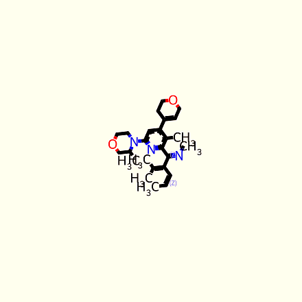 C/C=C\C(=C(C)C)/C(=N/C)c1nc(N2CCOCC2C)cc(C2=CCOCC2)c1C